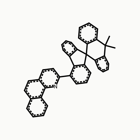 CC1(C)c2ccccc2C2(c3ccccc3-c3c(-c4ccc5ccc6ccccc6c5n4)cccc32)c2ccccc21